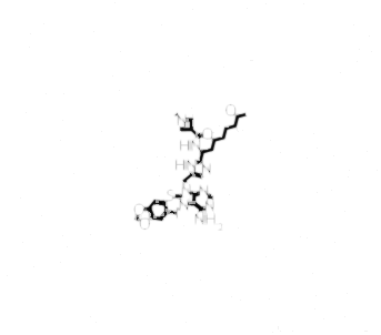 CC(=O)CCCCCC(NC(=O)C1CN(C)C1)c1ncc(Cn2c(Sc3cc4c(cc3I)OCO4)nc3c(N)ncnc32)[nH]1